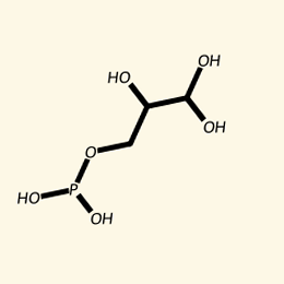 OC(O)C(O)COP(O)O